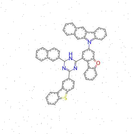 c1ccc2cc(C3N=C(c4ccc5sc6ccccc6c5c4)N=C(c4cc(-n5c6ccccc6c6cc7ccccc7cc65)cc5oc6ccccc6c45)N3)ccc2c1